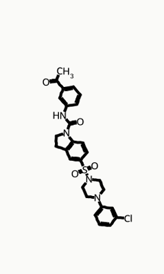 CC(=O)c1cccc(NC(=O)N2CCc3cc(S(=O)(=O)N4CCN(c5cccc(Cl)c5)CC4)ccc32)c1